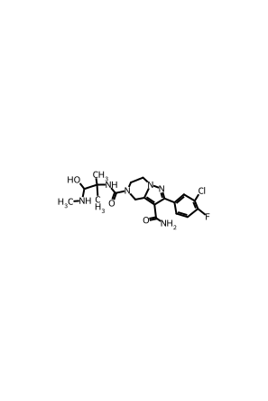 CNC(O)C(C)(C)NC(=O)N1CCn2nc(-c3ccc(F)c(Cl)c3)c(C(N)=O)c2C1